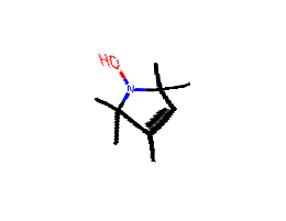 CC1=CC(C)(C)N(O)C1(C)C